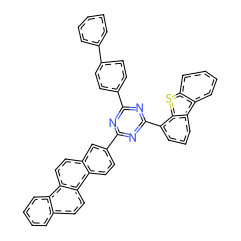 c1ccc(-c2ccc(-c3nc(-c4ccc5c(ccc6c7ccccc7ccc56)c4)nc(-c4cccc5c4sc4ccccc45)n3)cc2)cc1